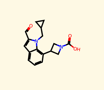 O=Cc1cc2cccc(C3CN(C(=O)O)C3)c2n1CC1CC1